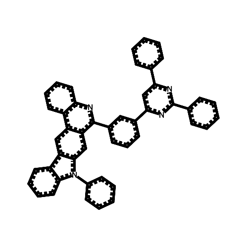 c1ccc(-c2cc(-c3cccc(-c4nc5ccccc5c5cc6c7ccccc7n(-c7ccccc7)c6cc45)c3)nc(-c3ccccc3)n2)cc1